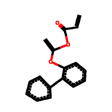 C=CC(=O)OC(=C)Oc1ccccc1-c1ccccc1